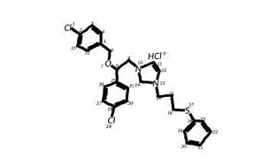 Cl.Clc1ccc(COC(CN2C=CN(CCCSc3ccccc3)C2)c2ccc(Cl)cc2)cc1